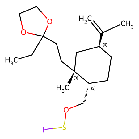 C=C(C)[C@H]1CC[C@H](COSI)[C@](C)(CCC2(CC)OCCO2)C1